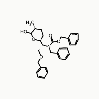 C[C@@H]1CC[C@@H]([C@@H](COCc2ccccc2)N(Cc2ccccc2)C(=O)OCc2ccccc2)OC1O